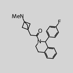 CNC12CC(CC(=O)N3CCc4ccccc4C3c3ccc(F)cc3)(C1)C2